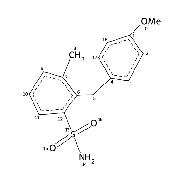 COc1ccc(Cc2c(C)cccc2S(N)(=O)=O)cc1